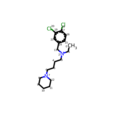 CCN(CCCCN1CC[CH]CC1)Cc1ccc(Cl)c(Cl)c1